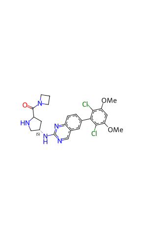 COc1cc(OC)c(Cl)c(-c2ccc3nc(N[C@@H]4CNC(C(=O)N5CCC5)C4)ncc3c2)c1Cl